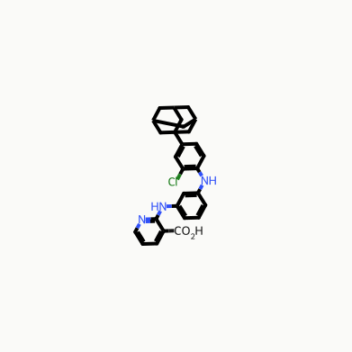 O=C(O)c1cccnc1Nc1cccc(Nc2ccc(C34CC5CC(CC(C5)C3)C4)cc2Cl)c1